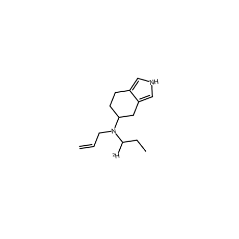 [2H]C(CC)N(CC=C)C1CCc2c[nH]cc2C1